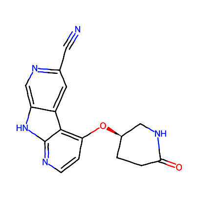 N#Cc1cc2c(cn1)[nH]c1nccc(O[C@@H]3CCC(=O)NC3)c12